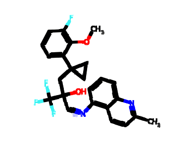 COc1c(F)cccc1C1(CC(O)(/C=N\c2cccc3nc(C)ccc23)C(F)(F)F)CC1